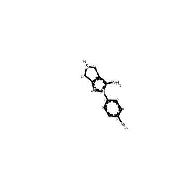 Nc1c2c(nn1-c1ccc(Br)cc1)CSC2